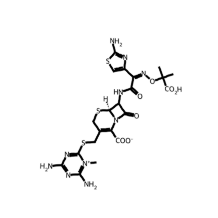 C[n+]1c(N)nc(N)nc1SCC1=C(C(=O)[O-])N2C(=O)C(NC(=O)/C(=N\OC(C)(C)C(=O)O)c3csc(N)n3)[C@@H]2SC1